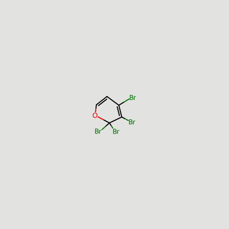 BrC1=C(Br)C(Br)(Br)OC=C1